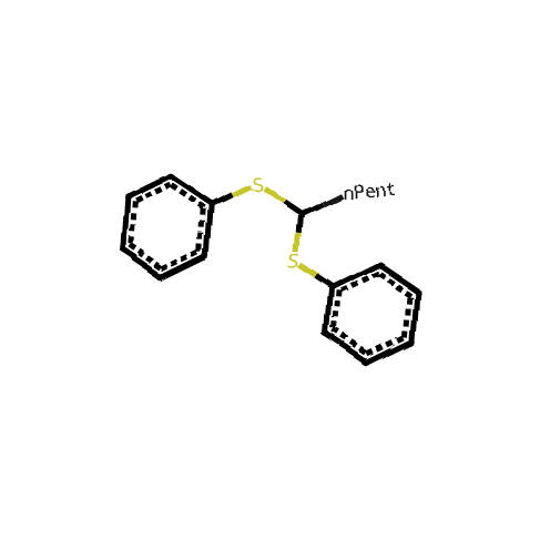 CCCCCC(Sc1ccccc1)Sc1ccccc1